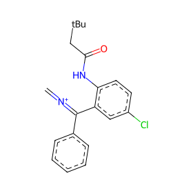 C=[N+]=C(c1ccccc1)c1cc(Cl)ccc1NC(=O)CC(C)(C)C